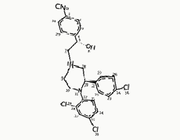 [C-]#[N+]c1ccc([C@H](O)CN2CCN(c3ccc(Cl)cc3Cl)[C@H](c3ccc(Cl)cc3)C2)cc1